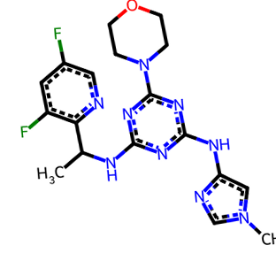 CC(Nc1nc(Nc2cn(C)cn2)nc(N2CCOCC2)n1)c1ncc(F)cc1F